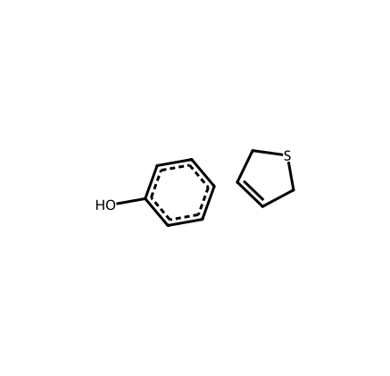 C1=CCSC1.Oc1ccccc1